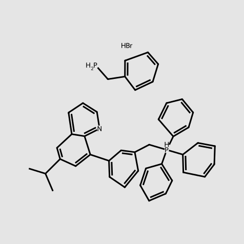 Br.CC(C)c1cc(-c2cccc(C[PH](c3ccccc3)(c3ccccc3)c3ccccc3)c2)c2ncccc2c1.PCc1ccccc1